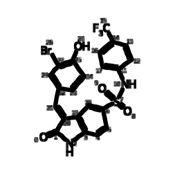 O=C1Nc2ccc(S(=O)(=O)Nc3ccc(C(F)(F)F)cc3)cc2C1=Cc1ccc(O)c(Br)c1